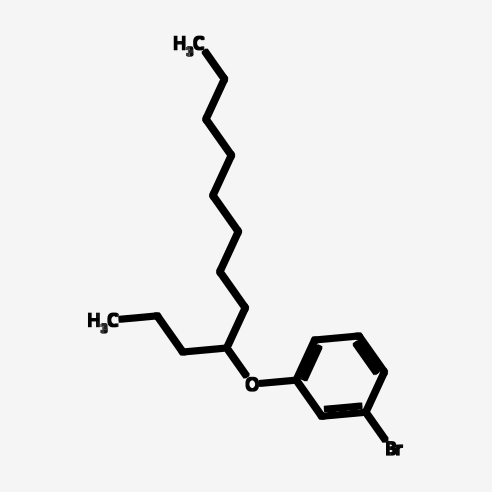 CCCCCCCCC(CCC)Oc1cccc(Br)c1